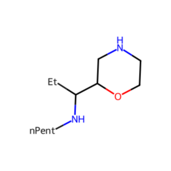 CCCCCNC(CC)C1CNCCO1